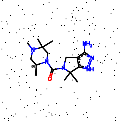 C[C@H]1CN(C)C(C)(C)CN1C(=O)N1Cc2c(N)n[nH]c2C1(C)C